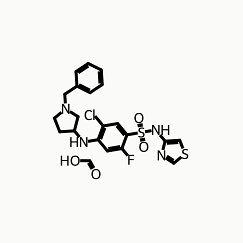 O=CO.O=S(=O)(Nc1cscn1)c1cc(Cl)c(NC2CCN(Cc3ccccc3)C2)cc1F